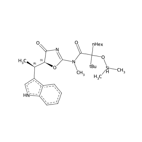 CCCCCCC(O[SiH](C)C)(C(=O)N(C)C1=NC(=O)[C@H]([C@H](C)c2c[nH]c3ccccc23)O1)C(C)(C)C